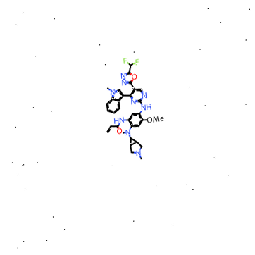 C=CC(=O)Nc1cc(Nc2ncc(-c3nnc(C(F)F)o3)c(-c3cn(C)c4ccccc34)n2)c(OC)cc1N(C)C1C2CN(C)CC21